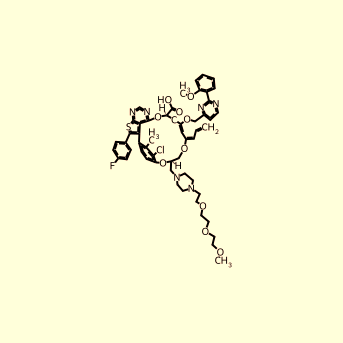 C=C/C=C1\C=C(/OCc2ccnc(-c3ccccc3OC)n2)C[C@H](C(=O)O)Oc2ncnc3sc(-c4ccc(F)cc4)c(c23)-c2ccc(c(Cl)c2C)O[C@H](CN2CCN(CCOCCOCCOC)CC2)CO1